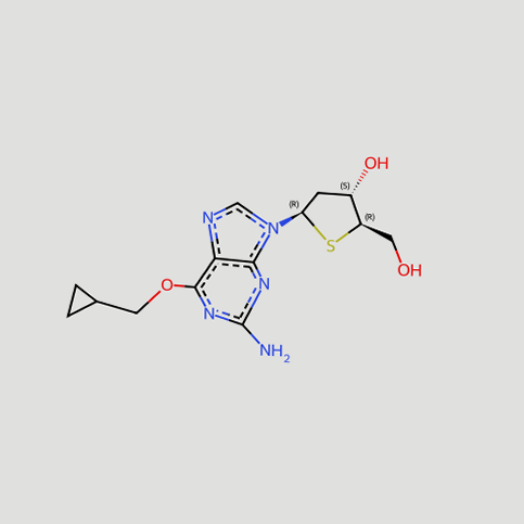 Nc1nc(OCC2CC2)c2ncn([C@H]3C[C@H](O)[C@@H](CO)S3)c2n1